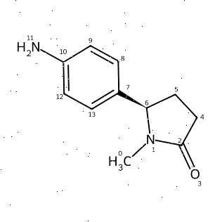 CN1C(=O)CC[C@@H]1c1ccc(N)cc1